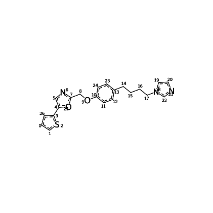 c1csc(-c2cnc(COc3ccc(CCCCn4ccnc4)cc3)o2)c1